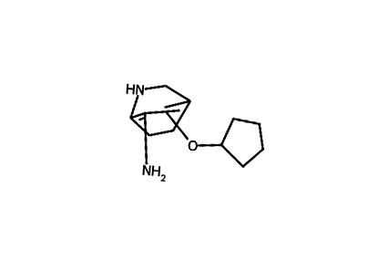 NC1=C2CCC(=C1OC1CCCC1)CN2